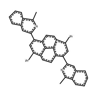 Cc1nc(-c2cc(C(C)C)c3ccc4c(-c5cc6ccccc6c(C)n5)cc(C(C)C)c5ccc2c3c45)cc2ccccc12